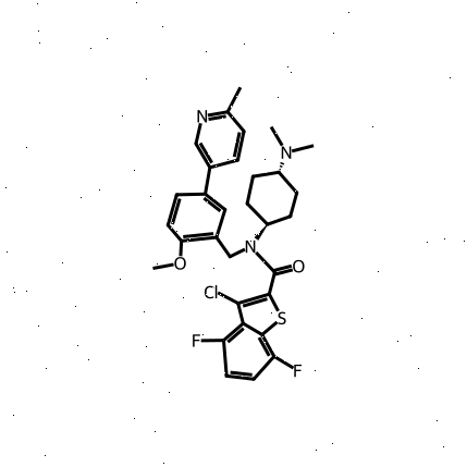 COc1ccc(-c2ccc(C)nc2)cc1CN(C(=O)c1sc2c(F)ccc(F)c2c1Cl)[C@H]1CC[C@H](N(C)C)CC1